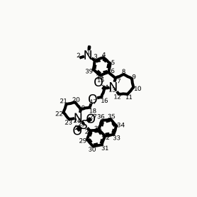 CN(C)c1ccc(C2CCCCCN2C(=O)COCC2CCCCN2S(=O)(=O)c2cccc3ccccc23)cc1